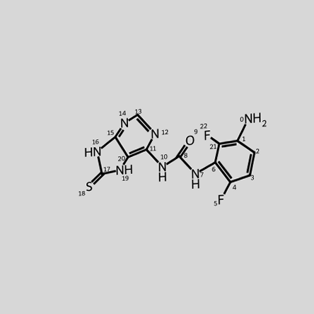 Nc1ccc(F)c(NC(=O)Nc2ncnc3[nH]c(=S)[nH]c23)c1F